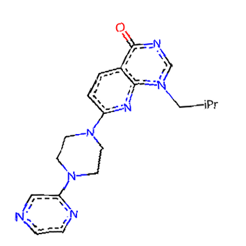 CC(C)Cn1cnc(=O)c2ccc(N3CCN(c4cnccn4)CC3)nc21